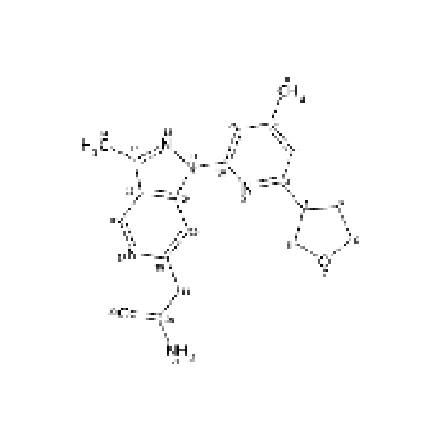 Cc1cc(C2CCOC2)nc(-n2nc(C)c3cnc(CC(N)=O)cc32)c1